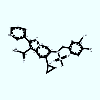 CS(=O)(=O)N(Cc1ccc(Br)c(F)c1)c1cn2nc(-c3cccnc3)c(C(=O)O)c2cc1C1CC1